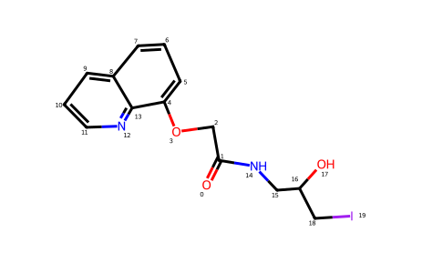 O=C(COc1cccc2cccnc12)NCC(O)CI